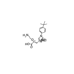 CC(C)(C)c1ccc(-n2cnc(C[C@H](OCCN)C(=O)O)c2)cc1.Cl.Cl